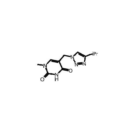 CC(C)c1cn(Cc2cn(C)c(=O)[nH]c2=O)nn1